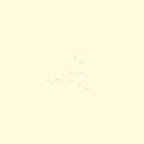 FCC[n+]1c(-c2ccccc2)c2ccccc2c2ccccc21.O=S(=O)([O-])C(F)(F)F